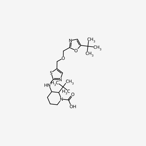 CC(C)(C)c1cnc(COCc2cnc(NC3CCCN(C(=O)O)C3C(C)(C)C)s2)o1